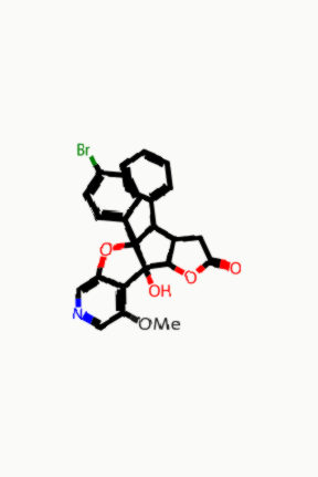 COc1cncc2c1C1(O)C3OC(=O)CC3C(c3ccccc3)C1(c1ccc(Br)cc1)O2